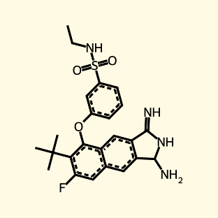 CCNS(=O)(=O)c1cccc(Oc2c(C(C)(C)C)c(F)cc3cc4c(cc23)C(=N)NC4N)c1